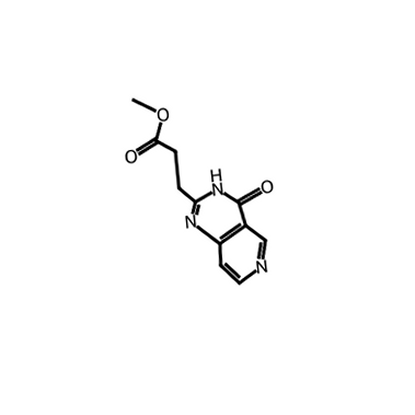 COC(=O)CCc1nc2ccncc2c(=O)[nH]1